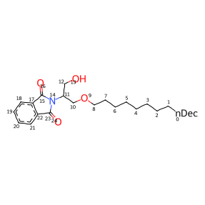 CCCCCCCCCCCCCCCCCCOCC(CO)N1C(=O)c2ccccc2C1=O